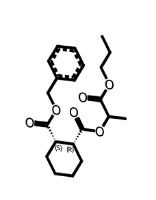 CCCOC(=O)C(C)OC(=O)[C@@H]1CCCC[C@@H]1C(=O)OCc1ccccc1